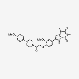 COc1ccc(N2CCN(C(=O)COc3ccc(-c4cc5c([nH]4)c(=O)n(C)c(=O)n5C)cc3OC)CC2)cc1